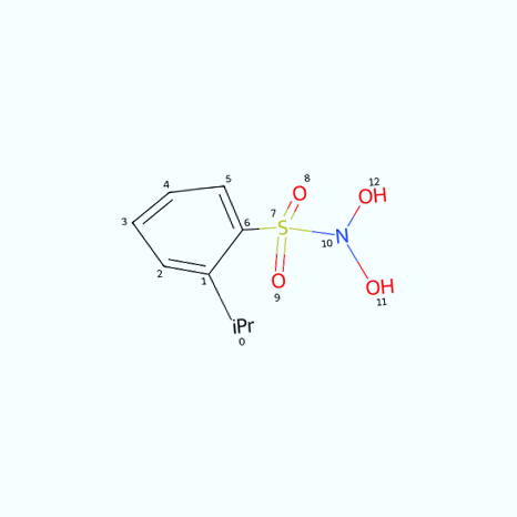 CC(C)c1ccccc1S(=O)(=O)N(O)O